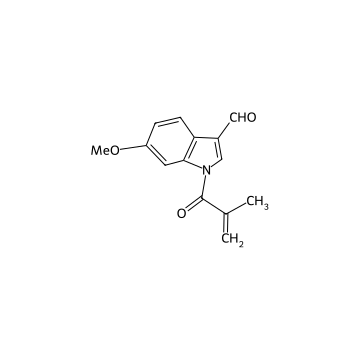 C=C(C)C(=O)n1cc(C=O)c2ccc(OC)cc21